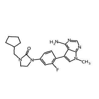 Cn1cc(-c2ccc(N3CCN(CC4CCCC4)C3=O)cc2F)c2c(N)ncnc21